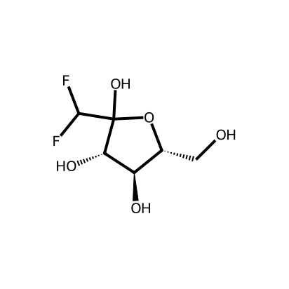 OC[C@H]1OC(O)(C(F)F)[C@@H](O)[C@@H]1O